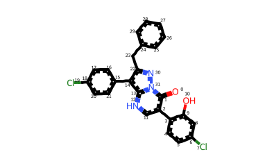 O=c1c(-c2ccc(Cl)cc2O)c[nH]c2c(-c3ccc(Cl)cc3)c(Cc3ccccc3)nn12